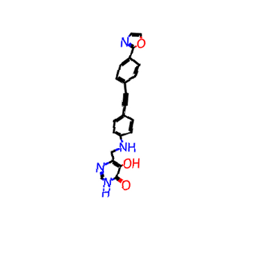 O=c1[nH]cnc(CNc2ccc(C#Cc3ccc(-c4ncco4)cc3)cc2)c1O